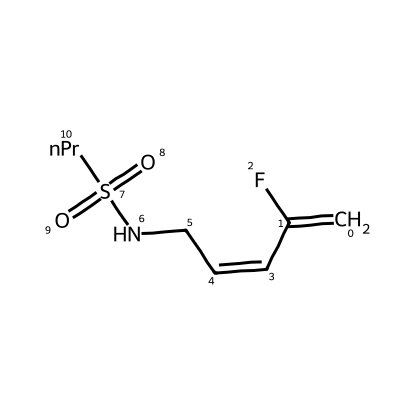 C=C(F)/C=C\CNS(=O)(=O)CCC